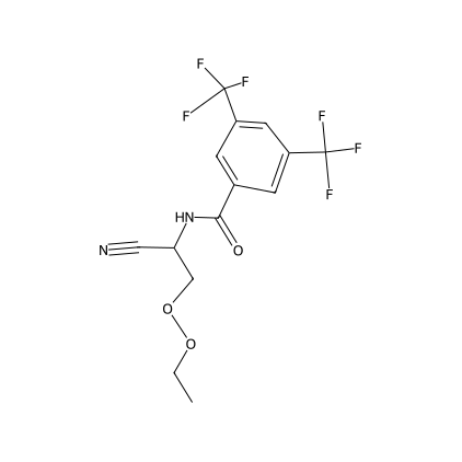 CCOOCC(C#N)NC(=O)c1cc(C(F)(F)F)cc(C(F)(F)F)c1